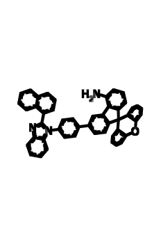 Nc1cccc2c1-c1cc(-c3ccc(-n4c(-c5cccc6ccccc56)nc5ccccc54)cc3)ccc1C21c2ccccc2Oc2ccccc21